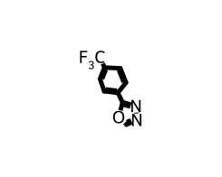 FC(F)(F)c1ccc(-c2nnco2)cc1